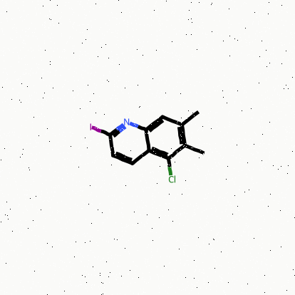 Cc1cc2nc(I)ccc2c(Cl)c1C